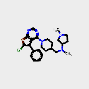 CN1CCC(N(C)CC2CCN(c3ncnc4sc(Br)c(-c5ccccc5)c34)CC2)C1